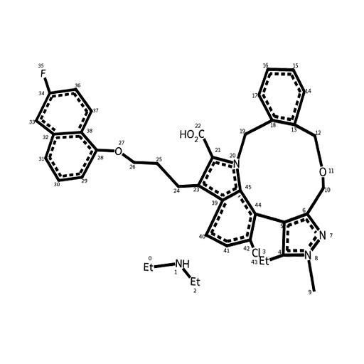 CCNCC.CCc1c2c(nn1C)COCc1ccccc1Cn1c(C(=O)O)c(CCCOc3cccc4cc(F)ccc34)c3ccc(Cl)c-2c31